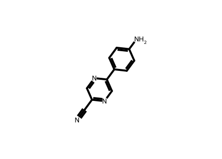 N#Cc1cnc(-c2ccc(N)cc2)cn1